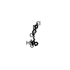 O=C(CCCc1n[nH]c(=O)c2ccccc12)N1CCN(c2ccc(Cl)cn2)CC1